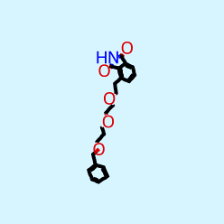 O=C1NC(=O)c2c(CCOCCOCCCOCc3ccccc3)cccc21